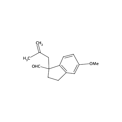 C=C(C)CC1(C=O)CCc2cc(OC)ccc21